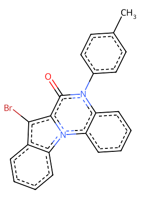 Cc1ccc(-n2c(=O)c3c(Br)c4ccccc4n3c3ccccc32)cc1